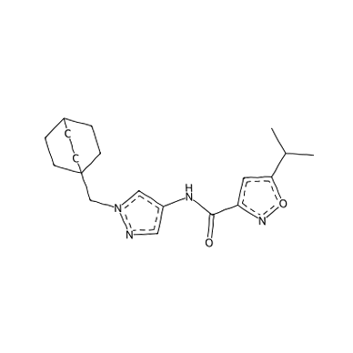 CC(C)c1cc(C(=O)Nc2cnn(CC34CCC(CC3)CC4)c2)no1